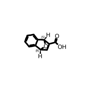 O=C(O)C1C[C@H]2O[C@@H]1c1ccccc12